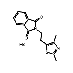 Br.Cc1nc(C)c(CCN2C(=O)c3ccccc3C2=O)s1